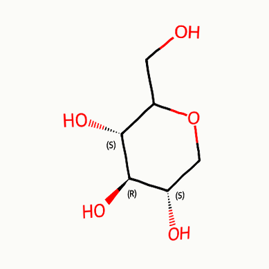 OCC1OC[C@H](O)[C@@H](O)[C@@H]1O